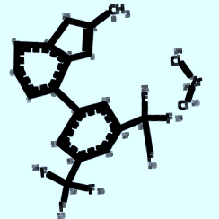 CC1=Cc2c(cccc2-c2cc(C(F)(F)F)cc(C(F)(F)F)c2)C1.[Cl][Zr][Cl]